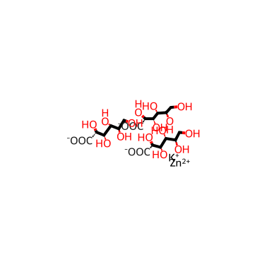 O=C([O-])[C@H](O)[C@@H](O)[C@H](O)[C@H](O)CO.O=C([O-])[C@H](O)[C@@H](O)[C@H](O)[C@H](O)CO.O=C([O-])[C@H](O)[C@@H](O)[C@H](O)[C@H](O)CO.[K+].[Zn+2]